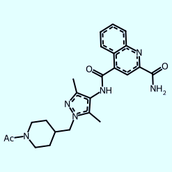 CC(=O)N1CCC(Cn2nc(C)c(NC(=O)c3cc(C(N)=O)nc4ccccc34)c2C)CC1